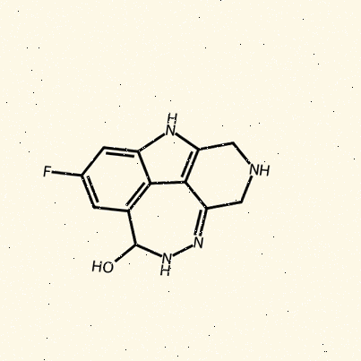 OC1NN=C2CNCc3[nH]c4cc(F)cc1c4c32